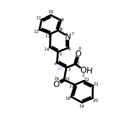 O=C(O)/C(=C\c1cnc2ccccc2c1)C(=O)c1ccccc1